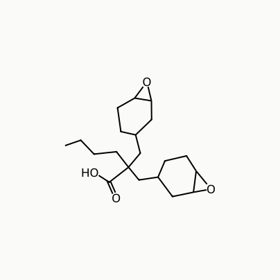 CCCCC(CC1CCC2OC2C1)(CC1CCC2OC2C1)C(=O)O